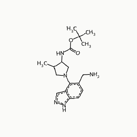 CC1CN(c2c(CN)ccc3[nH]ncc23)CC1NC(=O)OC(C)(C)C